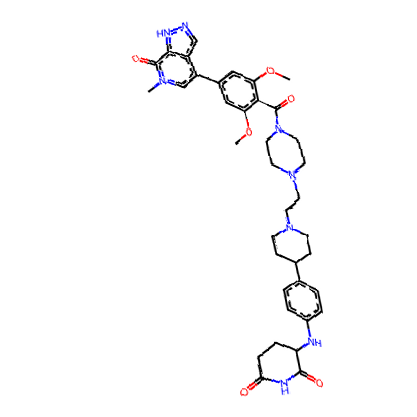 COc1cc(-c2cn(C)c(=O)c3[nH]ncc23)cc(OC)c1C(=O)N1CCN(CCN2CCC(c3ccc(NC4CCC(=O)NC4=O)cc3)CC2)CC1